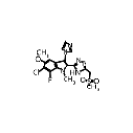 COc1cc2c(-n3ccnc3)c(-c3nnc(CS(C)(=O)=O)[nH]3)n(C)c2c(F)c1Cl